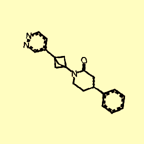 O=C1CC(c2ccccc2)CCN1C12CC(c3ccnnc3)(C1)C2